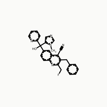 Cn1cncc1C(O)(c1ccc2nc(CF)c(Cc3ccccc3)c(C#N)c2c1)c1ccccn1